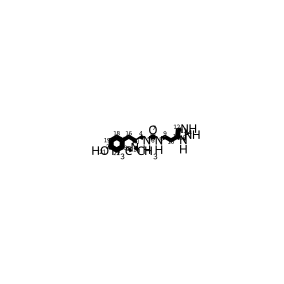 CN(C)[C@H](CNC(=O)NCCC1=CNNN1)Cc1ccc(O)cc1